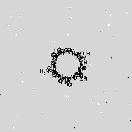 CCCC[C@H]1C(=O)N(C)CC(=O)N[C@@H](CC(=O)O)C(=O)N[C@@H](C(C)C)C(=O)N(C)C(Cc2ccccc2)C(=O)N[C@@H](Cc2ccc(O)cc2)C(=O)N(C)CC(=O)N[C@@H](Cc2c[nH]c3ccccc23)C(=O)N[C@@H](Cc2ccccc2)C(=O)N[C@@H](CC(C)C)C(=O)N[C@H](C(=O)NCC(N)=O)CSCC(=O)N[C@@H](Cc2ccccc2)C(=O)N(C)[C@@H](Cc2ccccc2)C(=O)N1C